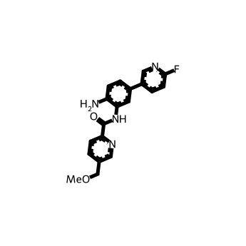 COCc1ccc(C(=O)Nc2cc(-c3ccc(F)nc3)ccc2N)nc1